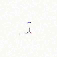 CC(O)C(=O)O.[NH2][Zr]